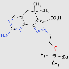 CC1(C)Cc2cnc(N)nc2-c2nn(CCO[Si](C)(C)C(C)(C)C)c(C(=O)O)c21